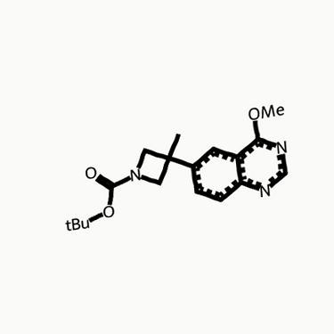 COc1ncnc2ccc(C3(C)CN(C(=O)OC(C)(C)C)C3)cc12